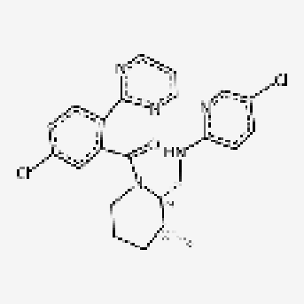 C[C@@H]1CCCN(C(=O)c2cc(Cl)ccc2-c2ncccn2)[C@@H]1CNc1ccc(Cl)cn1